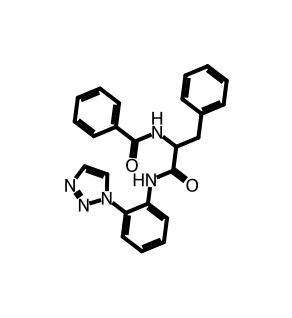 O=C(NC(Cc1ccccc1)C(=O)Nc1ccccc1-n1ccnn1)c1ccccc1